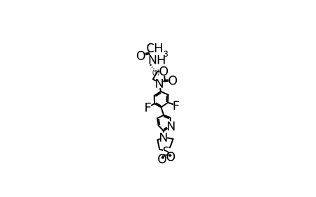 CC(=O)NC[C@H]1CN(c2cc(F)c(-c3ccc(N4CCS(=O)(=O)CC4)nc3)c(F)c2)C(=O)O1